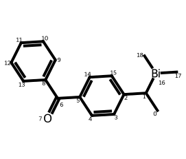 C[CH](c1ccc(C(=O)c2ccccc2)cc1)[Bi]([CH3])[CH3]